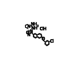 Cl.N=C(N)N1CCC[C@H]1c1nc(-c2ccc3cc(OCc4cccc(Cl)c4)ccc3c2)no1